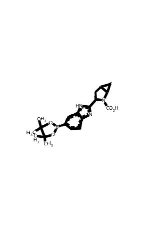 CC1(C)OB(c2ccc3nc(C4CC5CC5N4C(=O)O)[nH]c3c2)OC1(C)C